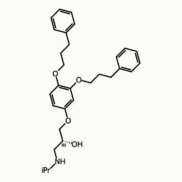 CC(C)NC[C@@H](O)COc1ccc(OCCCc2ccccc2)c(OCCCc2ccccc2)c1